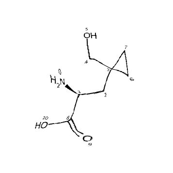 N[C@@H](CC1(CO)CC1)C(=O)O